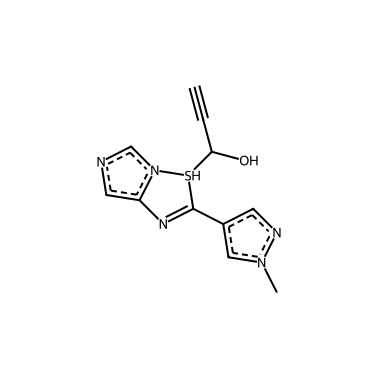 C#CC(O)[SH]1C(c2cnn(C)c2)=Nc2cncn21